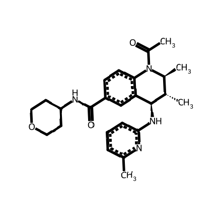 CC(=O)N1c2ccc(C(=O)NC3CCOCC3)cc2[C@H](Nc2cccc(C)n2)[C@@H](C)[C@@H]1C